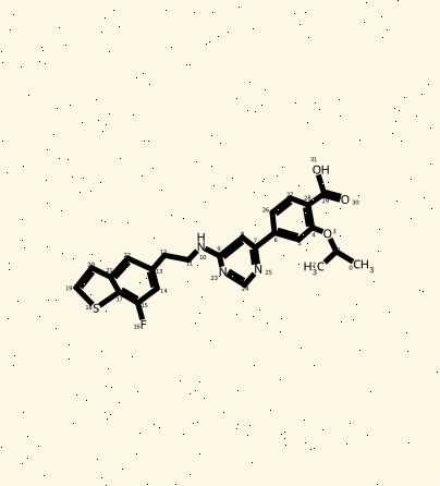 CC(C)Oc1cc(-c2cc(NCCc3cc(F)c4sccc4c3)ncn2)ccc1C(=O)O